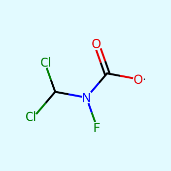 [O]C(=O)N(F)C(Cl)Cl